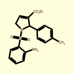 CCOC(=O)C1=CCN(S(=O)(=O)c2ccccc2[N+](=O)[O-])C1c1ccc(C)cc1